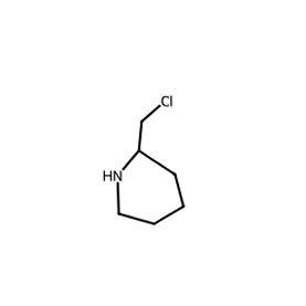 ClCC1CCCCN1